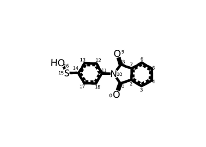 O=C1c2ccccc2C(=O)N1c1ccc(SO)cc1